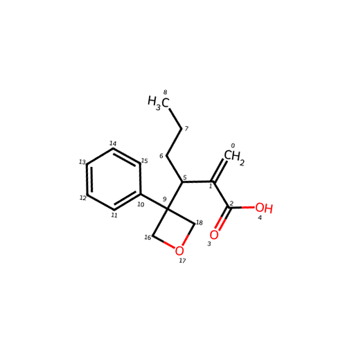 C=C(C(=O)O)C(CCC)C1(c2ccccc2)COC1